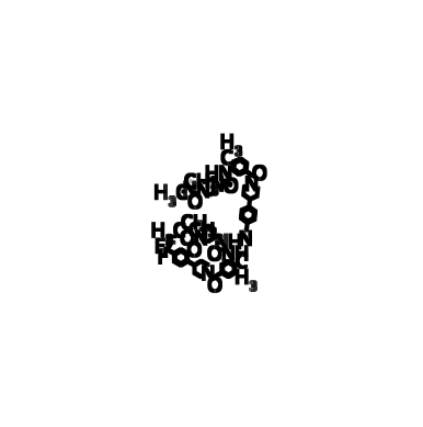 Cc1ccc(C(=O)N2CCC(c3ccc(C#N)cc3)CC2)cc1NC(=O)N1CCN(C(=O)N(C)C)CC1.Cc1ccc(C(=O)N2CCC(c3ccc(C(F)(F)F)cc3)CC2)cc1NC(=O)NC1CCCN(C(=O)OC(C)(C)C)C1